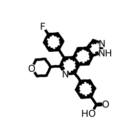 O=C(O)c1ccc(-c2nc(C3CCOCC3)c(-c3ccc(F)cc3)c3cc4cn[nH]c4cc23)cc1